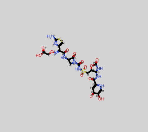 Nc1nc(C(=NOCC(=O)O)C(=O)NC2CN(C(=O)NS(=O)(=O)CC3OC(=O)NC3NC(=O)c3cc(=O)c(O)c[nH]3)C2=O)cs1